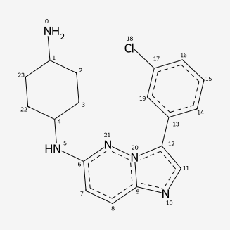 NC1CCC(Nc2ccc3ncc(-c4cccc(Cl)c4)n3n2)CC1